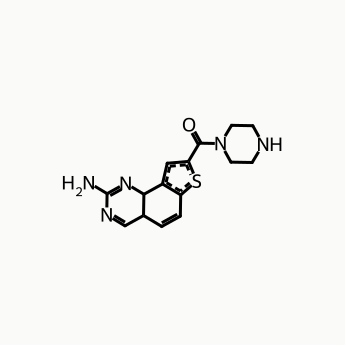 NC1=NC2c3cc(C(=O)N4CCNCC4)sc3C=CC2C=N1